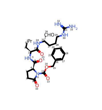 CC(C)C[C@H](NC(=O)[C@@H]1CCC(=O)N1C(=O)OCc1ccccc1)C(=O)N[C@H](C=O)CCCNC(=N)N